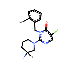 CC1(N)CCCN(c2ncc(F)c(=O)n2Cc2ccccc2C#N)C1